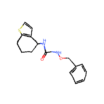 O=C(NOCc1ccccc1)NC1CCCc2sccc21